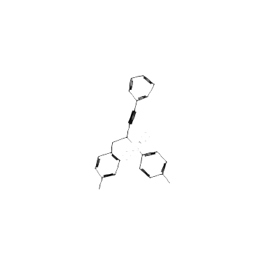 Cc1ccc(CC(C#Cc2ccccc2)S(=O)(=O)c2ccc(C)cc2)cc1